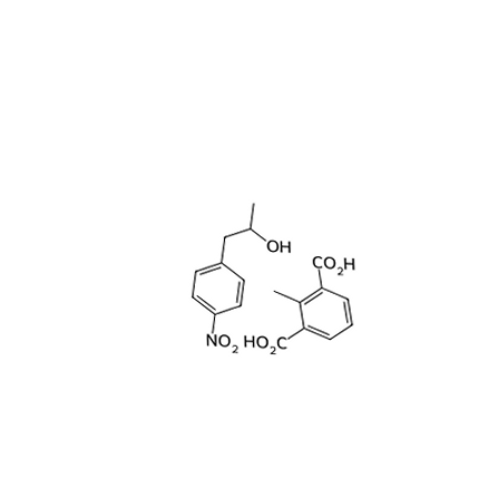 CC(O)Cc1ccc([N+](=O)[O-])cc1.Cc1c(C(=O)O)cccc1C(=O)O